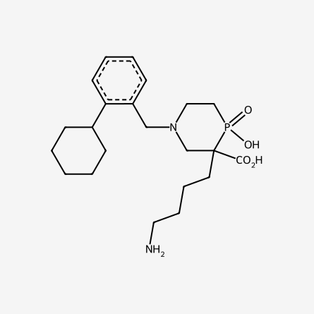 NCCCCC1(C(=O)O)CN(Cc2ccccc2C2CCCCC2)CCP1(=O)O